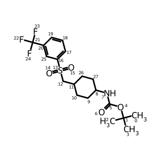 CC(C)(C)OC(=O)NC1CCC(CS(=O)(=O)c2cccc(C(F)(F)F)c2)CC1